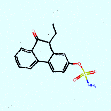 CCC1C(=O)c2ccccc2-c2ccc(OS(N)(=O)=O)cc21